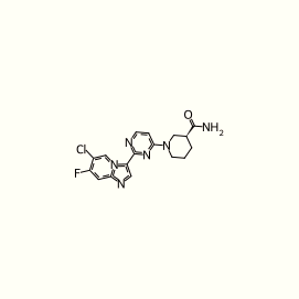 NC(=O)[C@H]1CCCN(c2ccnc(-c3cnc4cc(F)c(Cl)cn34)n2)C1